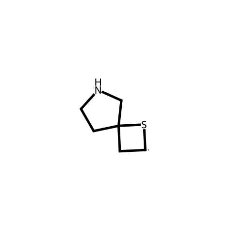 [CH]1CC2(CCNC2)S1